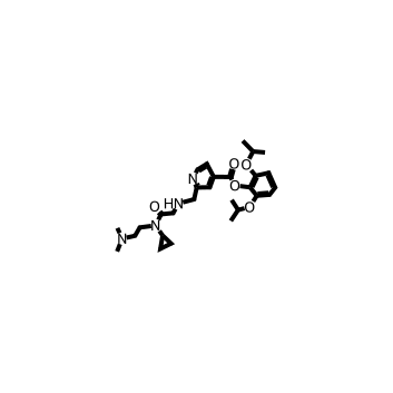 CC(C)Oc1cccc(OC(C)C)c1OC(=O)c1ccnc(CNCC(=O)N(CCN(C)C)C2CC2)c1